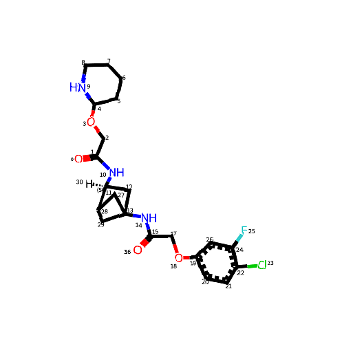 O=C(COC1CCCCN1)N[C@H]1CC2(NC(=O)COc3ccc(Cl)c(F)c3)CC1C2